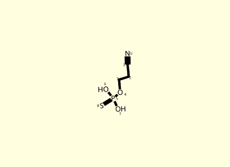 N#CCCOP(O)(O)=S